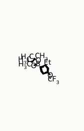 CCc1cc(OC(F)(F)F)ccc1B1OC(C)(C)C(C)(C)O1